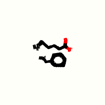 CCCCCC(=O)[O-].[Mg+][CH2]c1ccccc1